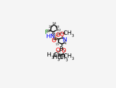 COc1ncc(B2OC(C)(C)C(C)(C)O2)cc1S(=O)(=O)Nc1ccccc1F